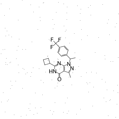 Cc1nn(C(C)c2ccc(C(F)(F)F)cc2)c2nc(C3CCC3)[nH]c(=O)c12